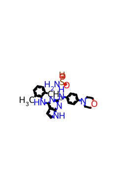 Cc1cccc(C)c1Nc1nc(Nc2ccc(N3CCOCC3)cc2)nc2[nH]ccc12.N[SH](=O)=O